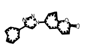 O=c1ccc2cc(-n3cc(-c4ccccc4)nn3)ccc2o1